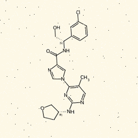 Cc1cnc(N[C@@H]2CCOC2)nc1-n1cnc(C(=O)N[C@H](CO)c2cccc(Cl)c2)c1